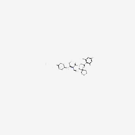 N=C/C(C(=O)N(CC(=O)c1c(Cl)cc(Cl)cc1Cl)CC1(F)CCCC1)=C(/CF)NC12CCC(C(=O)O)(CC1)CC2